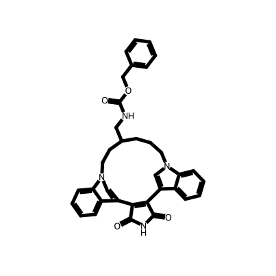 O=C(NCC1CCCn2cc(c3ccccc32)C2=C(C(=O)NC2=O)c2cn(c3ccccc23)CC1)OCc1ccccc1